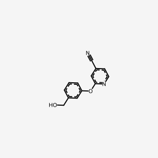 N#Cc1ccnc(Oc2cccc(CO)c2)c1